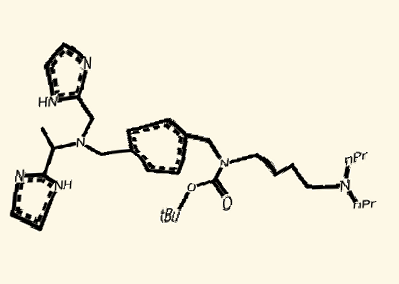 CCCN(CCC)CCCCN(Cc1ccc(CN(Cc2ncc[nH]2)C(C)c2ncc[nH]2)cc1)C(=O)OC(C)(C)C